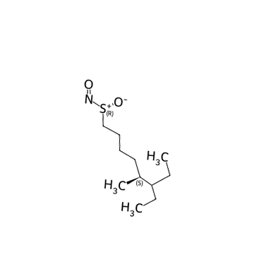 CCC(CC)[C@@H](C)CCCC[S@+]([O-])N=O